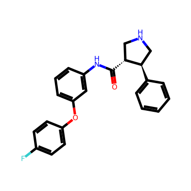 O=C(Nc1cccc(Oc2ccc(F)cc2)c1)[C@@H]1CNC[C@H]1c1ccccc1